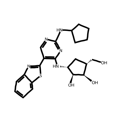 OC[C@H]1C[C@@H](Nc2nc(NC3CCCC3)ncc2-c2nc3ccccc3s2)[C@H](O)[C@@H]1O